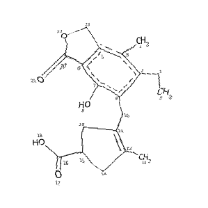 CCc1c(C)c2c(c(O)c1CC1=C(C)CC(C(=O)O)C1)C(=O)OC2